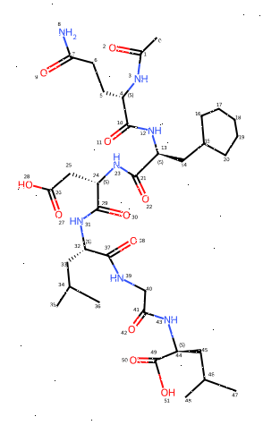 CC(=O)N[C@@H](CCC(N)=O)C(=O)N[C@@H](CC1CCCCC1)C(=O)N[C@@H](CC(=O)O)C(=O)N[C@@H](CC(C)C)C(=O)NCC(=O)N[C@@H](CC(C)C)C(=O)O